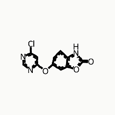 O=c1[nH]c2ccc(Oc3cc(Cl)ncn3)cc2o1